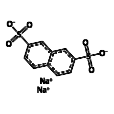 O=S(=O)([O-])c1ccc2ccc(S(=O)(=O)[O-])cc2c1.[Na+].[Na+]